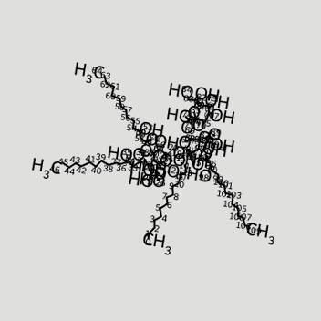 CCCCCCCCCCC[C@@H](O)CC(=O)N[C@H]1[C@H](OC[C@H]2O[C@H](OP(=O)(O)O)[C@H](NC(=O)C[C@H](O)CCCCCCCCCCC)[C@@H](OC(=O)C[C@H](O)CCCCCCCCCCC)[C@@H]2O)O[C@H](CO[C@]2(C(=O)O)C[C@@H](O)[C@@H](O)[C@@H]([C@H](O)CO)O2)[C@@H](OP(=O)(O)O)[C@@H]1OC(=O)C[C@H](O)CCCCCCCCCCC